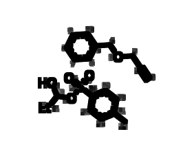 C#CCOCc1ccccc1.CCC(O)OS(=O)(=O)c1ccc(C)cc1